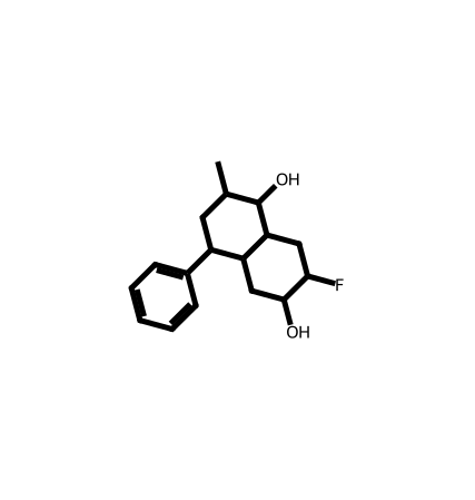 CC1CC(c2ccccc2)C2CC(O)C(F)CC2C1O